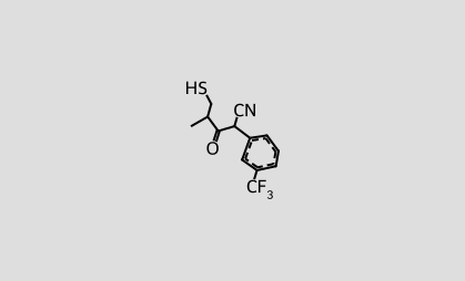 CC(CS)C(=O)C(C#N)c1cccc(C(F)(F)F)c1